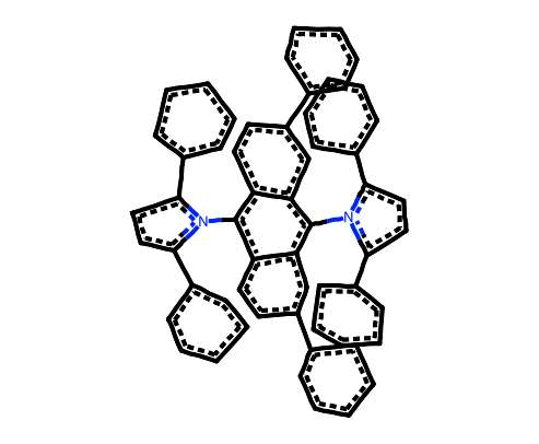 c1ccc(-c2ccc3c(-n4c(-c5ccccc5)ccc4-c4ccccc4)c4ccc(-c5ccccc5)cc4c(-n4c(-c5ccccc5)ccc4-c4ccccc4)c3c2)cc1